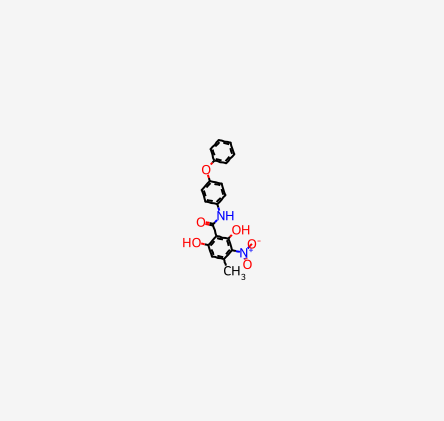 Cc1cc(O)c(C(=O)Nc2ccc(Oc3ccccc3)cc2)c(O)c1[N+](=O)[O-]